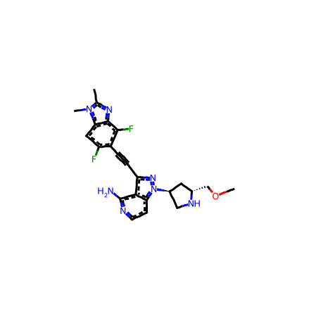 COC[C@H]1C[C@H](n2nc(C#Cc3c(F)cc4c(nc(C)n4C)c3F)c3c(N)nccc32)CN1